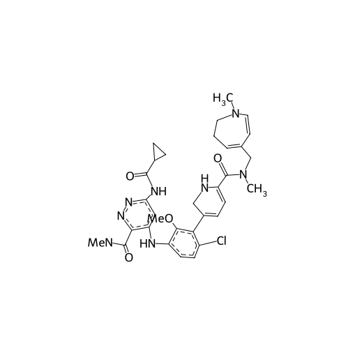 CNC(=O)c1nnc(NC(=O)C2CC2)cc1Nc1ccc(Cl)c(C2=CC=C(C(=O)N(C)CC3=CCCN(C)C=C3)NC2)c1OC